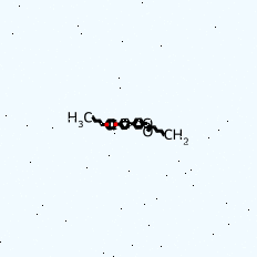 C=CCCCC(=O)Oc1ccc(-c2ccc(C34CCC(CCCCC)(CC3)CC4)cc2)cc1